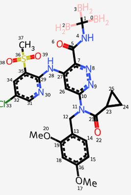 BC(B)(B)NC(=O)c1nnc(N(Cc2ccc(OC)cc2OC)C(=O)C2CC2)cc1Nc1ncc(Cl)cc1S(C)(=O)=O